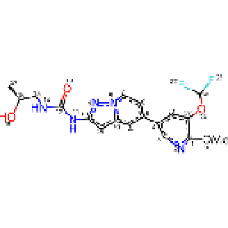 COc1ncc(-c2ccn3nc(NC(=O)NC[C@H](C)O)cc3c2)cc1OC(F)F